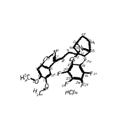 COc1cc2onc(CCCN3C4CCC3CC(Oc3c(F)c(F)c(F)c(F)c3F)C4)c2cc1OC.Cl